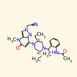 CC[C@H]1CN(C(C)c2ccccc2NC(C)=O)[C@H](CC)CN1c1cc(=O)n(C)c2cn(CC#N)nc12